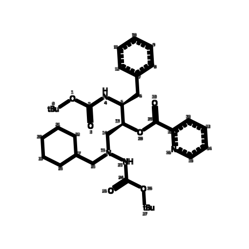 CC(C)(C)OC(=O)N[C@@H](Cc1ccccc1)[C@H](CN(CC1CCCCC1)NC(=O)OC(C)(C)C)OC(=O)c1ccccn1